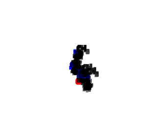 Cc1ccc(-c2cnc3c(c2)CN(c2nn4c(=O)cc(CC5CCCC5)nc4c(C)c2C)CC3)cn1